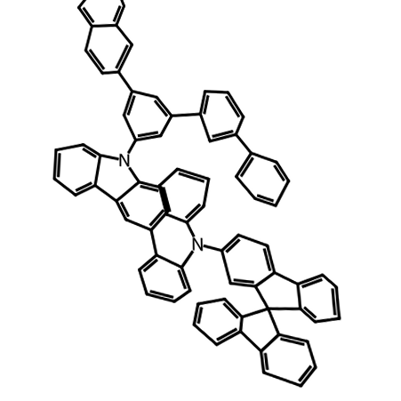 c1ccc(-c2cccc(-c3cc(-c4ccc5ccccc5c4)cc(-n4c5ccccc5c5cc(-c6ccccc6N(c6ccccc6)c6ccc7c(c6)C6(c8ccccc8-c8ccccc86)c6ccccc6-7)ccc54)c3)c2)cc1